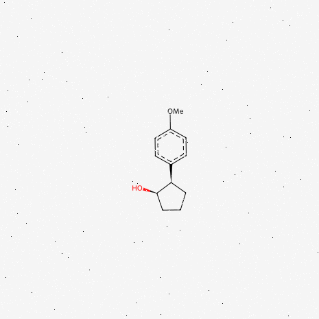 COc1ccc([C@H]2CCC[C@H]2O)cc1